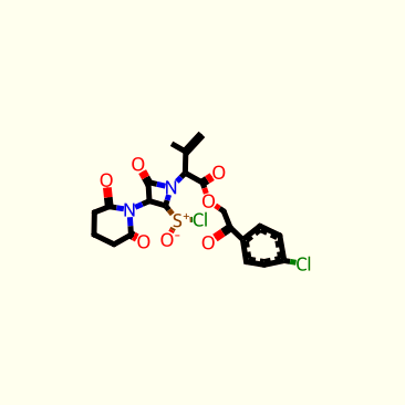 C=C(C)C(C(=O)OCC(=O)c1ccc(Cl)cc1)N1C(=O)C(N2C(=O)CCCC2=O)C1[S+]([O-])Cl